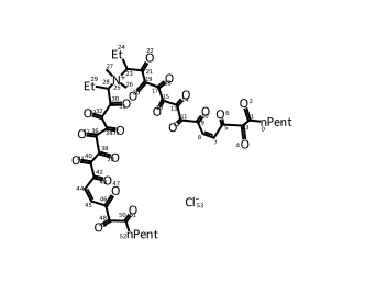 CCCCCC(=O)C(=O)C(=O)/C=C\C(=O)C(=O)C(=O)C(=O)C(=O)C(=O)C(=O)C(CC)[N+](C)(C)C(CC)C(=O)C(=O)C(=O)C(=O)C(=O)C(=O)C(=O)/C=C\C(=O)C(=O)C(=O)CCCCC.[Cl-]